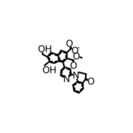 COC(=O)c1cc2cc(CO)c(CO)cc2c(-c2ccnc(N3CCC(=O)c4ccccc43)c2)c1C(=O)OC